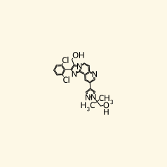 CC(C)(CO)n1cc(-c2cnc3ccn4c(CO)c(-c5c(Cl)cccc5Cl)nc4c3c2)cn1